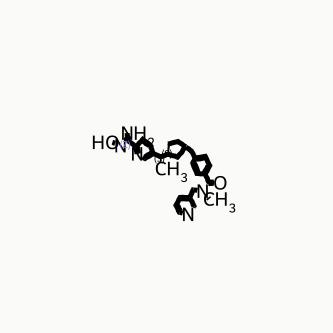 C[C@H](c1ccc(/C(N)=N/O)nc1)[C@H]1CCC(Cc2ccc(C(=O)N(C)Cc3cccnc3)cc2)C1